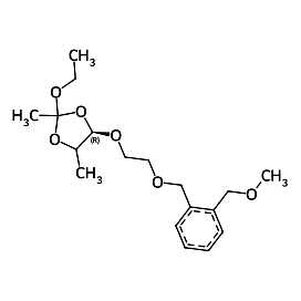 CCOC1(C)OC(C)[C@H](OCCOCc2ccccc2COC)O1